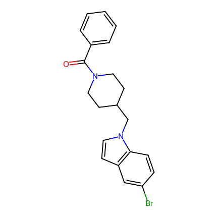 O=C(c1ccccc1)N1CCC(Cn2ccc3cc(Br)ccc32)CC1